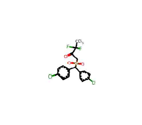 O=C(CS(=O)(=O)C(c1ccc(Cl)cc1)c1ccc(Cl)cc1)C(F)(F)C(Cl)(Cl)Cl